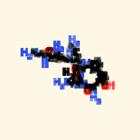 CN1C(=O)[C@H](CCCN)NC(=O)[C@@H](N)Cc2cc(ccc2O)-c2cccc(c2)C[C@H]1C(=O)N[C@@H](CCCN)CNCCC[C@H](N)CC(=O)NCCN